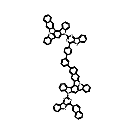 c1cc(-c2ccc(-c3nc(-n4c5ccccc5c5c6c7cc8ccccc8cc7n7c8ccccc8c(cc54)c67)nc4c3sc3ccccc34)cc2)cc(-c2ccc3cc4c(cc3c2)c2c3c5ccccc5n(-c5nc(-c6ccc7ccccc7c6)c6sc7ccccc7c6n5)c3cc3c5ccccc5n4c32)c1